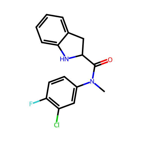 CN(C(=O)C1Cc2ccccc2N1)c1ccc(F)c(Cl)c1